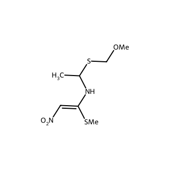 COCSC(C)NC(=C[N+](=O)[O-])SC